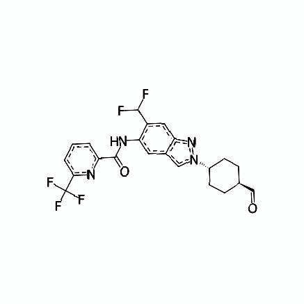 O=C[C@H]1CC[C@H](n2cc3cc(NC(=O)c4cccc(C(F)(F)F)n4)c(C(F)F)cc3n2)CC1